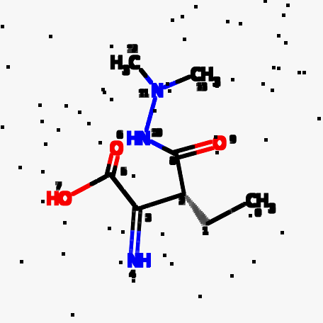 CC[C@H](C(=N)C(=O)O)C(=O)NN(C)C